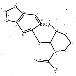 CCOC(=O)C1CCCN(C(=O)CC)C1Cc1ccc2c(c1)OCO2